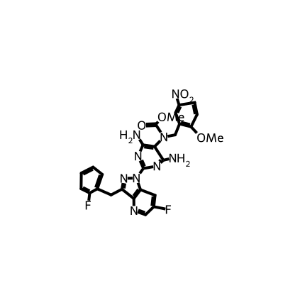 COC(=O)N(Cc1cc([N+](=O)[O-])ccc1OC)c1c(N)nc(-n2nc(Cc3ccccc3F)c3ncc(F)cc32)nc1N